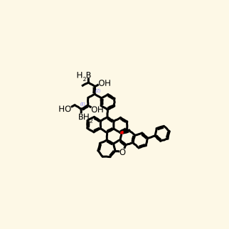 B/C(CO)=C(\O)C/C(=C(/O)C(B)C)c1cccc(-c2c3ccccc3c(C3=c4c(oc5c4ccc4cc(-c6ccccc6)ccc45)=CCC=C3)c3ccccc23)c1